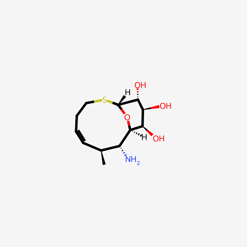 C[C@H]1/C=C\CCS[C@H]2O[C@H]([C@@H]1N)[C@H](O)[C@H](O)[C@H]2O